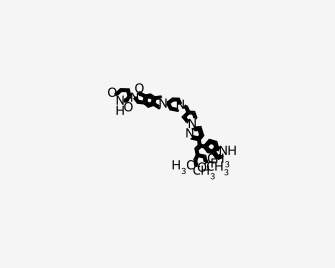 CC1(C)CC(C=C(c2ccc(N3CCC(CN4CCC(N5Cc6cc7c(cc6C5)C(=O)N(C5CCC(=O)NC5=O)C7)CC4)CC3)nc2)c2ccc3[nH]cc(F)c3c2)CC(C)(C)O1